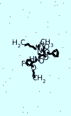 C=CCCCCN1CN(C)C(=O)c2c(OCc3ccccc3)c(=O)c(C(=O)NCc3ccc(F)cc3OCCC=C)cn21